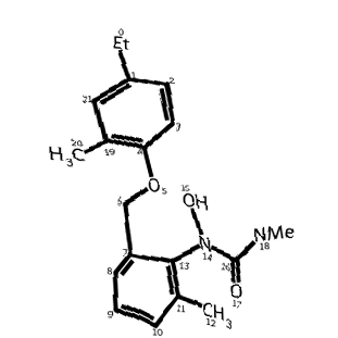 CCc1ccc(OCc2cccc(C)c2N(O)C(=O)NC)c(C)c1